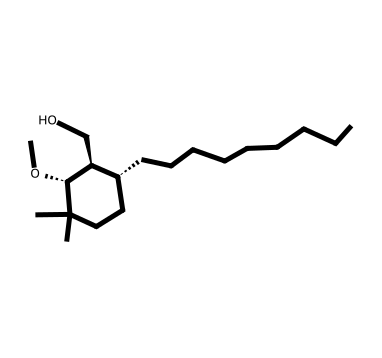 CCCCCCCCC[C@@H]1CCC(C)(C)[C@H](OC)[C@H]1CO